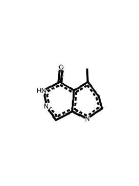 Cc1ccnc2cn[nH]c(=O)c12